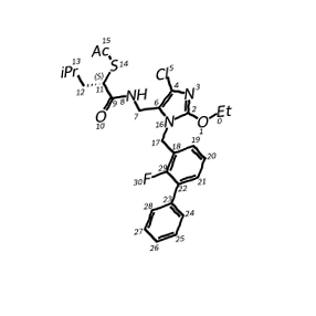 CCOc1nc(Cl)c(CNC(=O)[C@H](CC(C)C)SC(C)=O)n1Cc1cccc(-c2ccccc2)c1F